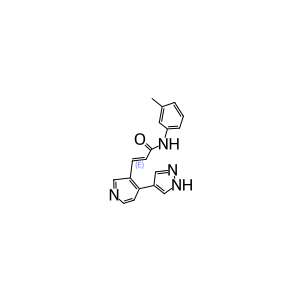 Cc1cccc(NC(=O)/C=C/c2cnccc2-c2cn[nH]c2)c1